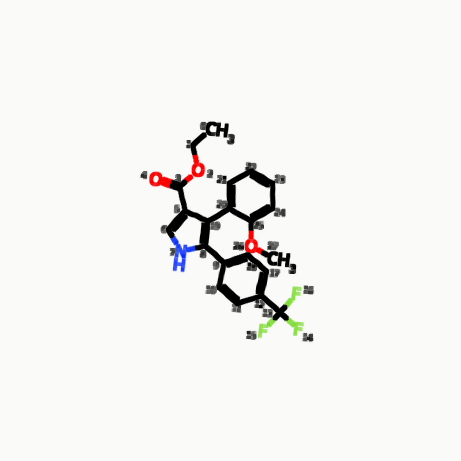 CCOC(=O)c1c[nH]c(-c2ccc(C(F)(F)F)cc2)c1-c1ccccc1OC